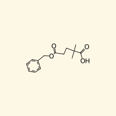 CC(C)(CCC(=O)OCc1ccccc1)C(=O)O